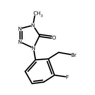 Cn1nnn(-c2cccc(F)c2CBr)c1=O